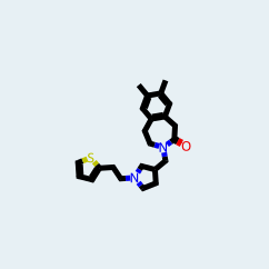 Cc1cc2c(cc1C)CC(=O)N(CC1CCN(CCc3cccs3)C1)CC2